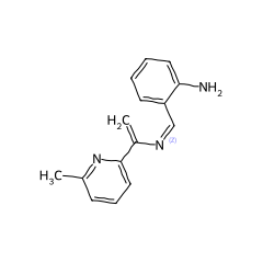 C=C(/N=C\c1ccccc1N)c1cccc(C)n1